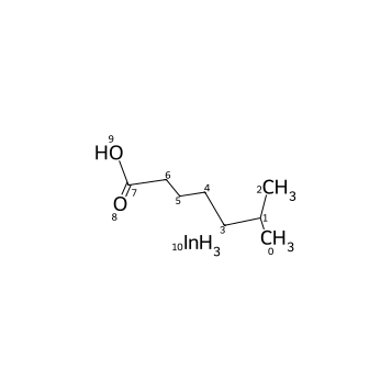 CC(C)CCCCC(=O)O.[InH3]